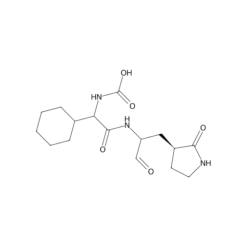 O=CC(C[C@@H]1CCNC1=O)NC(=O)C(NC(=O)O)C1CCCCC1